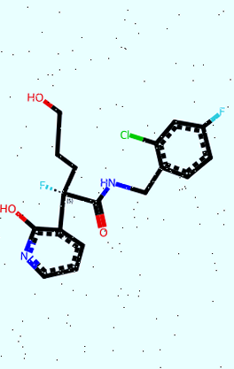 O=C(NCc1ccc(F)cc1Cl)[C@](F)(CCCO)c1cccnc1O